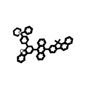 CC1(C)c2cc(-c3c4ccccc4c(C4=Cc5c(oc6ccccc56)C(C5C=CC([Si]6(c7ccccc7)CCCCC6)=CC5)C4)c4ccccc34)ccc2-c2ccc3ccccc3c21